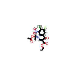 CCOC(=O)c1cn(C(C)(C)OC(C)=O)c2c([N+](=O)[O-])c(Cl)c(F)cc2c1=O